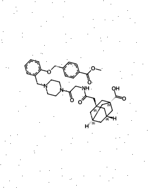 COC(=O)c1ccc(COc2ccccc2CN2CCN(C(=O)CNC(=O)C[C@@]34C[C@H]5C[C@@H](C3)C[C@](C(=O)O)(C5)C4)CC2)cc1